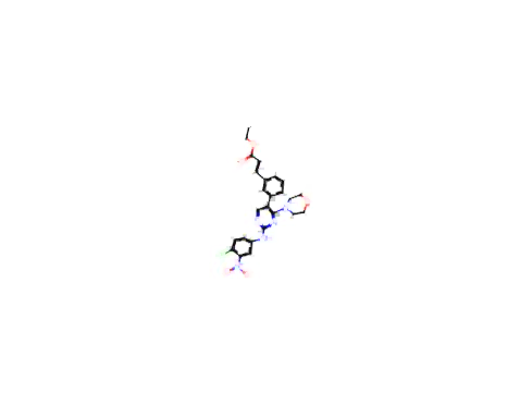 CCOC(=O)/C=C/c1cccc(-c2cnc(Nc3ccc(F)c([N+](=O)[O-])c3)nc2N2CCOCC2)c1